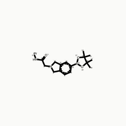 CC(C)NC(=O)CN1Cc2ccc(B3OC(C)(C)C(C)(C)O3)cc2C1